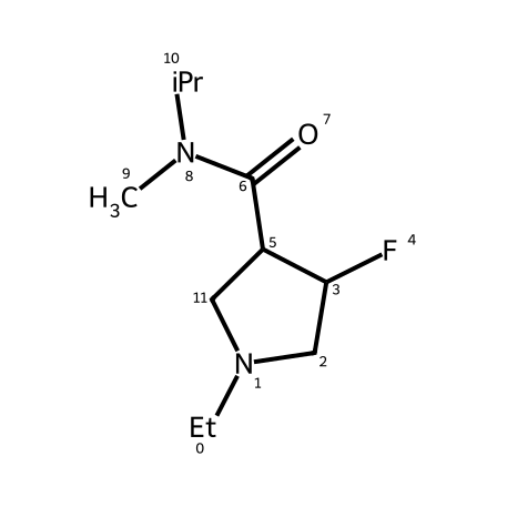 CCN1CC(F)C(C(=O)N(C)C(C)C)C1